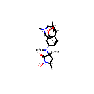 COC1(N(C(=O)O)[C@H]2C=C[C@@]34CCN(C)Cc5cccc(c53)O[C@H]4C2)CC(C)N(O)C1=O